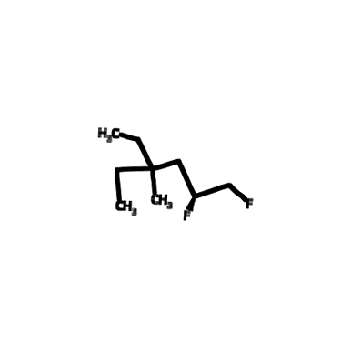 CCC(C)(CC)C[C@H](F)CF